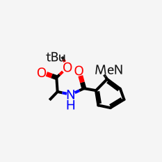 CNc1ccccc1C(=O)NC(C)C(=O)OC(C)(C)C